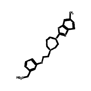 O=C(O)Cc1cccc(OCCN2CCCN(c3nc4ccc(C(F)(F)F)cc4s3)CC2)c1